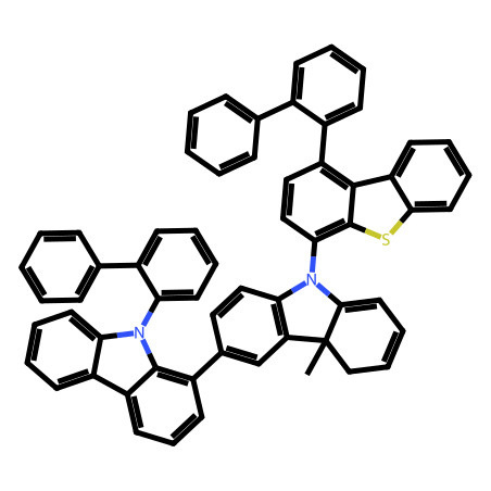 CC12CC=CC=C1N(c1ccc(-c3ccccc3-c3ccccc3)c3c1sc1ccccc13)c1ccc(-c3cccc4c5ccccc5n(-c5ccccc5-c5ccccc5)c34)cc12